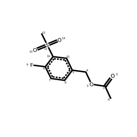 CC(=O)OCc1ccc(F)c(S(C)(=O)=O)c1